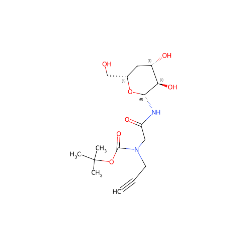 C#CCN(CC(=O)N[C@@H]1O[C@H](CO)C[C@H](O)[C@H]1O)C(=O)OC(C)(C)C